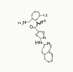 NCc1cccc(Cl)c1NC(=O)c1cnc(Nc2cc3ccccc3cn2)s1